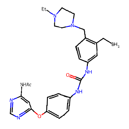 BCc1cc(NC(=O)Nc2ccc(Oc3cc(NC(C)=O)ncn3)cc2)ccc1CN1CCN(CC)CC1